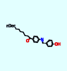 CCCCCCCCCCCCCCCCC(=O)c1ccc(N=Cc2ccc(O)cc2)cc1